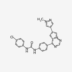 Cn1cc(-c2cc3c(-c4ccc(NC(=O)Nc5ccc(Cl)cc5)cc4)ncnn3c2)cn1